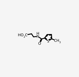 Cc1ccc(C(=O)NCCC(=O)O)s1